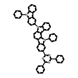 c1ccc(-c2nc(-c3ccccc3)nc(-c3ccc4c5ccc6c(c7ccccc7n6-c6ccc7c(c6)c6ccccc6n7-c6ccccc6)c5n(-c5ccccc5)c4c3)n2)cc1